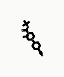 CC1=[N+](C(=O)OC(C)(C)C)CCN(C2CCC(C#N)CC2)C1